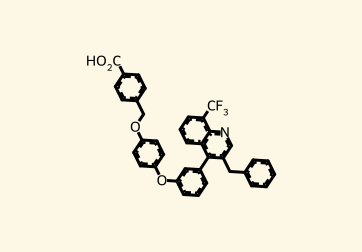 O=C(O)c1ccc(COc2ccc(Oc3cccc(-c4c(Cc5ccccc5)cnc5c(C(F)(F)F)cccc45)c3)cc2)cc1